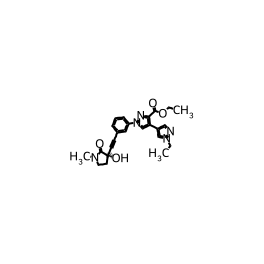 CCOC(=O)c1nn(-c2cccc(C#C[C@]3(O)CCN(C)C3=O)c2)cc1-c1cnn(CC)c1